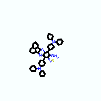 Nc1c(N=S)c(-c2ccc(N(c3ccccc3)c3ccccc3)cc2)c2nc3c(nc2c1-c1ccc(N(c2ccccc2)c2ccccc2)cc1)-c1cccc2cccc-3c12